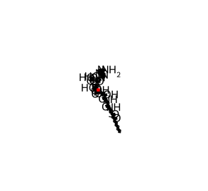 CCCCCCCC(=O)CC(=O)SCCNC(=O)CCNC(=O)C(O)C(C)(C)COP(=O)(O)OP(=O)(O)OC[C@H]1O[C@@H](n2cnc3c(N)ncnc32)[C@H](O)[C@@H]1OP(=O)(O)O